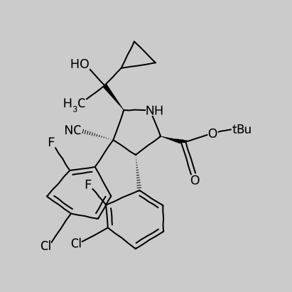 CC(C)(C)OC(=O)[C@@H]1N[C@H](C(C)(O)C2CC2)[C@](C#N)(c2ccc(Cl)cc2F)[C@H]1c1cccc(Cl)c1F